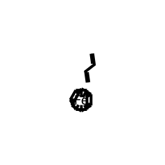 C=CC=C.[CH]12[CH]3[CH]4[CH]5[CH]1[Fe]23451678[CH]2[CH]1[CH]6[CH]7[CH]28